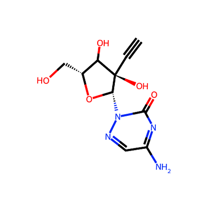 C#C[C@@]1(O)C(O)[C@@H](CO)O[C@H]1n1ncc(N)nc1=O